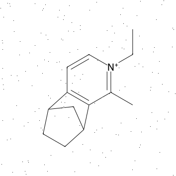 CC[n+]1ccc2c(c1C)C1CCC2C1